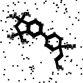 CC=CC1(C(=O)O)C=CC(c2ccc3c(c2)C(C)(C)CC3(C)C)=CC1